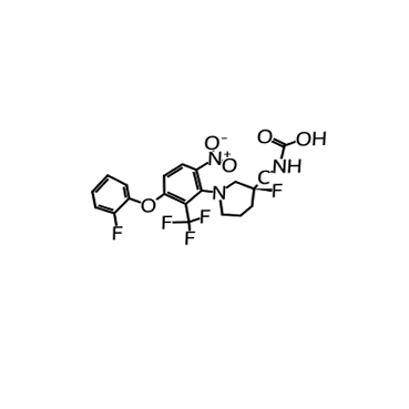 O=C(O)NC[C@]1(F)CCCN(c2c([N+](=O)[O-])ccc(Oc3ccccc3F)c2C(F)(F)F)C1